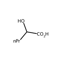 C[CH]CC(O)C(=O)O